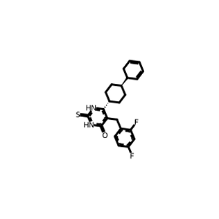 O=c1[nH]c(=S)[nH]c([C@H]2CC[C@H](C3C=CC=CC3)CC2)c1Cc1ccc(F)cc1F